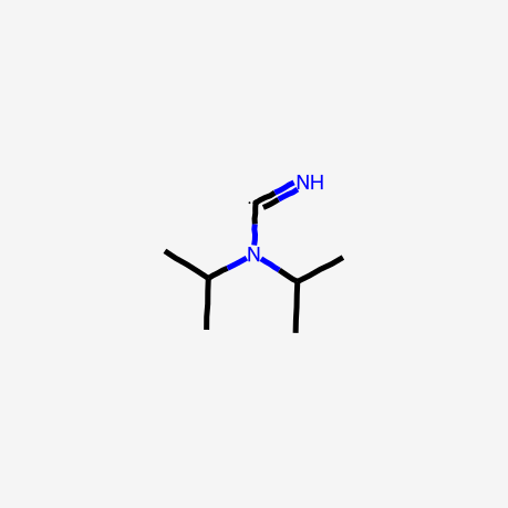 CC(C)N([C]=N)C(C)C